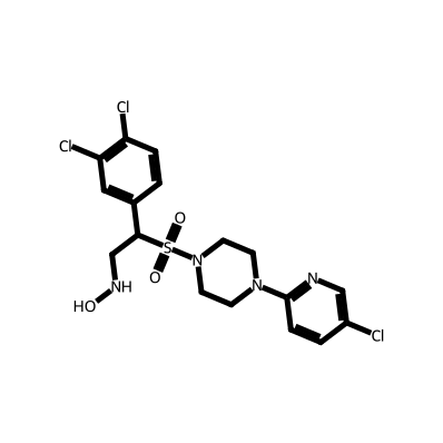 O=S(=O)(C(CNO)c1ccc(Cl)c(Cl)c1)N1CCN(c2ccc(Cl)cn2)CC1